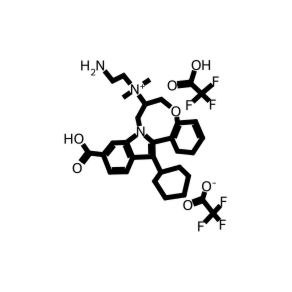 C[N+](C)(CCN)C1COC2=C(CCC=C2)c2c(C3CCCCC3)c3ccc(C(=O)O)cc3n2C1.O=C(O)C(F)(F)F.O=C([O-])C(F)(F)F